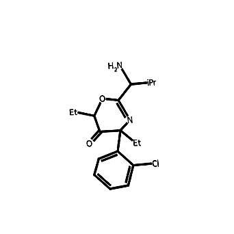 CCC1OC(C(N)C(C)C)=NC(CC)(c2ccccc2Cl)C1=O